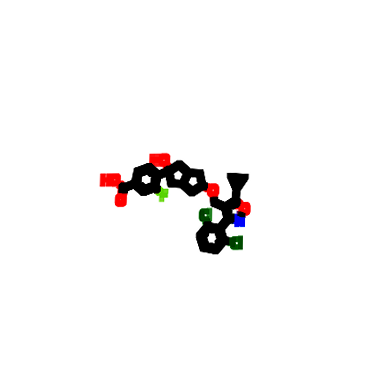 O=C(O)c1ccc(C2(O)CC3CC(OCc4c(-c5c(Cl)cccc5Cl)noc4C4CC4)CC3C2)c(F)c1